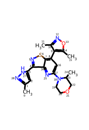 Cc1cc(-c2nsc3c(-c4c(C)noc4C)cc(N4CCOCC4C)nc23)[nH]n1